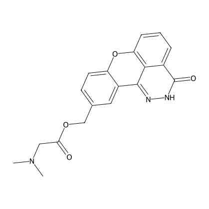 CN(C)CC(=O)OCc1ccc2c(c1)-c1n[nH]c(=O)c3cccc(c13)O2